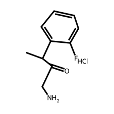 CC(C(=O)CN)c1ccccc1F.Cl